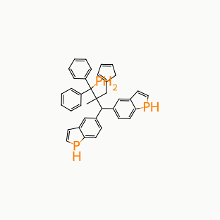 CC(CC1=CC=CC1)(C(c1ccc2[pH]ccc2c1)c1ccc2[pH]ccc2c1)C(P)(c1ccccc1)c1ccccc1